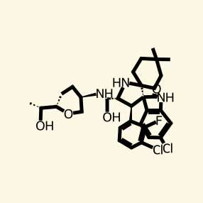 C[C@@H](O)[C@@H]1CC[C@@H](NC(O)[C@@H]2NC3(CCC(C)(C)CC3)[C@@]3(C(=O)Nc4cc(Cl)ccc43)[C@H]2c2cccc(Cl)c2F)CO1